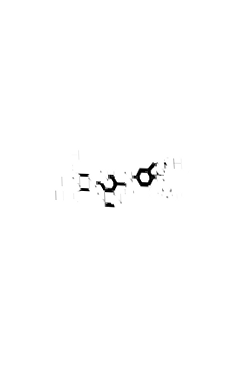 COc1cc(NC(=O)c2cnc(N3C[C@@H](C)N[C@@H](C)C3)c3nccnc23)cc2cn(C)nc12